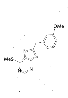 COc1cccc(Cc2nc3c(SC)ncnc3s2)c1